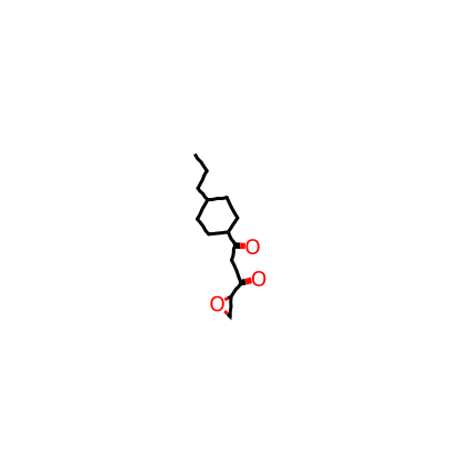 CCCC1CCC(C(=O)CC(=O)C2CO2)CC1